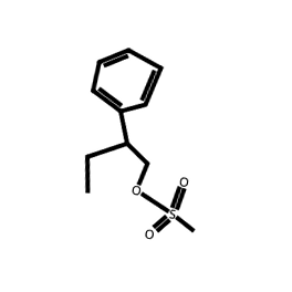 CCC(COS(C)(=O)=O)c1ccccc1